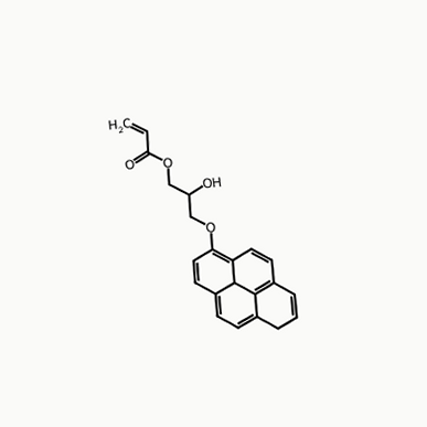 C=CC(=O)OCC(O)COC1=C2C=CC3=C4C(=CC=C(C=C1)C24)CC=C3